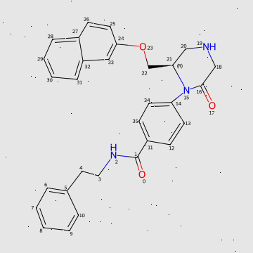 O=C(NCCc1ccccc1)c1ccc(N2C(=O)CNC[C@@H]2COc2ccc3ccccc3c2)cc1